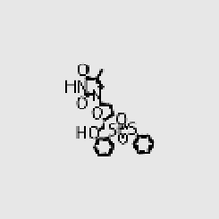 Cc1cn([C@H]2C[C@H](OP(=O)(Sc3ccccc3)Sc3ccccc3)[C@@H](CO)O2)c(=O)[nH]c1=O